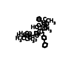 CC1(C)OC(=O)N(C(=O)[C@@](C)(OCc2ccc(-c3ccccc3)cc2)[C@@H](O)c2cc(CO[Si](C)(C)C(C)(C)C)on2)[C@H]1c1ccccc1